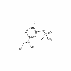 CS(=O)(=O)Nc1cc([C@H](O)CBr)ccc1F